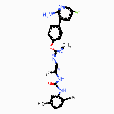 C=N/C(=N\C=C(/C)NC(=O)Nc1cc(C(F)(F)F)ccc1C(C)C)Oc1ccc(-c2cc(F)cnc2N)cc1